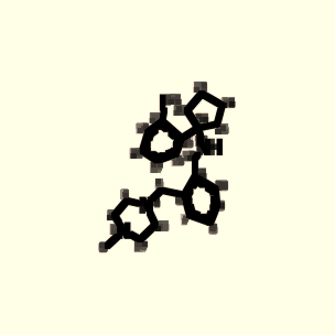 CN1CCN(Cc2ccccc2CNC2(c3ccccc3F)CCCC2)CC1